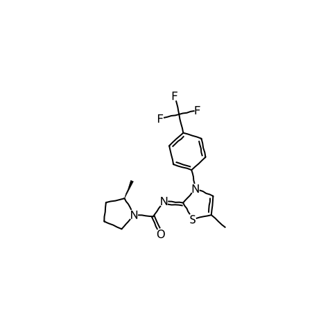 Cc1cn(-c2ccc(C(F)(F)F)cc2)c(=NC(=O)N2CCC[C@H]2C)s1